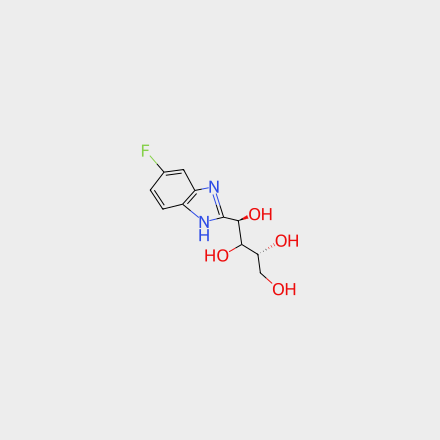 OC[C@@H](O)C(O)[C@H](O)c1nc2cc(F)ccc2[nH]1